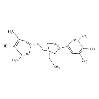 CC[Si](CC)(COc1cc(C)c(O)c(C)c1)COc1cc(C)c(O)c(C)c1